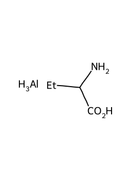 CCC(N)C(=O)O.[AlH3]